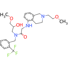 COCCN1CCc2c(cccc2NCC(=O)N(Cc2ccccc2C(F)(F)F)CC(O)COC)C1